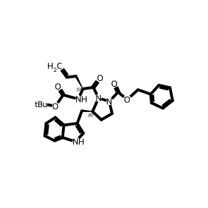 C=CC[C@H](NC(=O)OC(C)(C)C)C(=O)N1[C@H](Cc2c[nH]c3ccccc23)CCN1C(=O)OCc1ccccc1